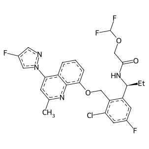 CC[C@H](NC(=O)COC(F)F)c1cc(F)cc(Cl)c1COc1cccc2c(-n3cc(F)cn3)cc(C)nc12